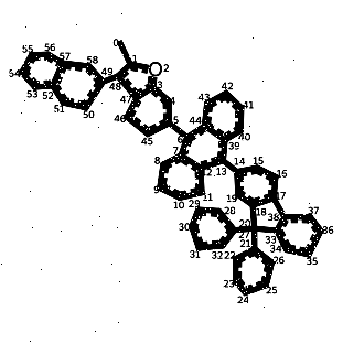 Cc1oc2cc(-c3c4ccccc4c(-c4ccc5c(c4)C(c4ccccc4)(c4ccccc4)c4ccccc4-5)c4ccccc34)ccc2c1-c1ccc2ccccc2c1